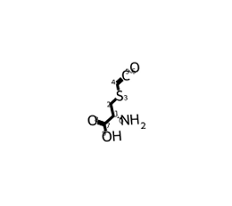 N[C@@H](CSC=C=O)C(=O)O